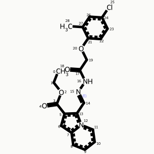 CCOC(=O)c1cc2ccccn2c1/C=N/NC(=O)COc1ccc(Cl)cc1C